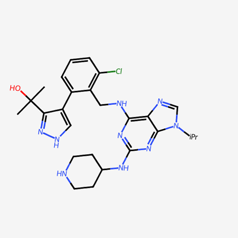 CC(C)n1cnc2c(NCc3c(Cl)cccc3-c3c[nH]nc3C(C)(C)O)nc(NC3CCNCC3)nc21